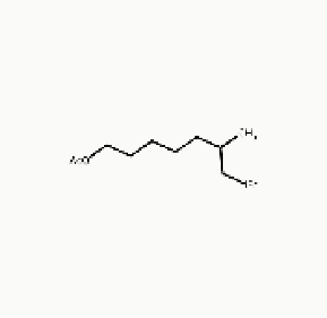 CC(=O)OCCCCCC(C)CC(C)C